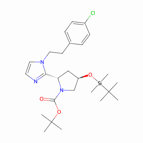 CC(C)(C)OC(=O)N1C[C@H](O[Si](C)(C)C(C)(C)C)C[C@H]1c1nccn1CCc1ccc(Cl)cc1